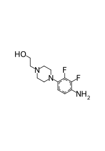 Nc1ccc(N2CCN(CCO)CC2)c(F)c1F